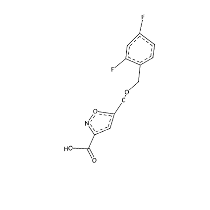 O=C(O)c1cc(COCc2ccc(F)cc2F)on1